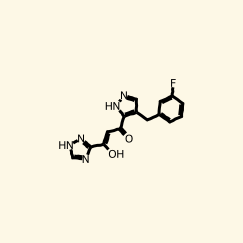 O=C(C=C(O)c1nc[nH]n1)c1[nH]ncc1Cc1cccc(F)c1